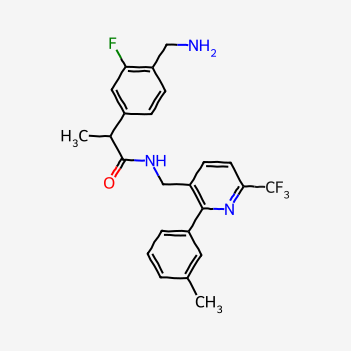 Cc1cccc(-c2nc(C(F)(F)F)ccc2CNC(=O)C(C)c2ccc(CN)c(F)c2)c1